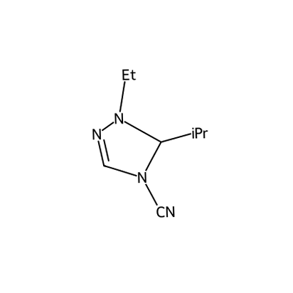 CCN1N=CN(C#N)C1C(C)C